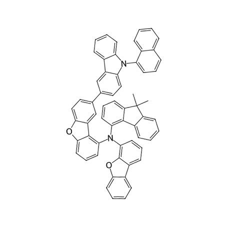 CC1(C)c2ccccc2-c2c(N(c3cccc4c3oc3ccccc34)c3cccc4oc5ccc(-c6ccc7c(c6)c6ccccc6n7-c6cccc7ccccc67)cc5c34)cccc21